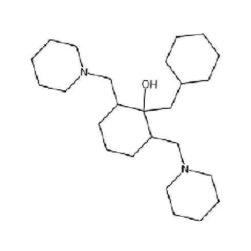 OC1(CC2CCCCC2)C(CN2CCCCC2)CCCC1CN1CCCCC1